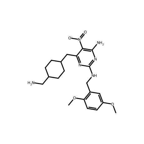 COc1ccc(OC)c(CNc2nc(N)c([N+](=O)[O-])c(CC3CCC(CN)CC3)n2)c1